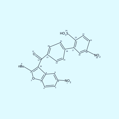 CCCCc1oc2ccc([N+](=O)[O-])cc2c1C(=O)c1ccc(-c2cc([N+](=O)[O-])ccc2S(=O)(=O)O)cc1